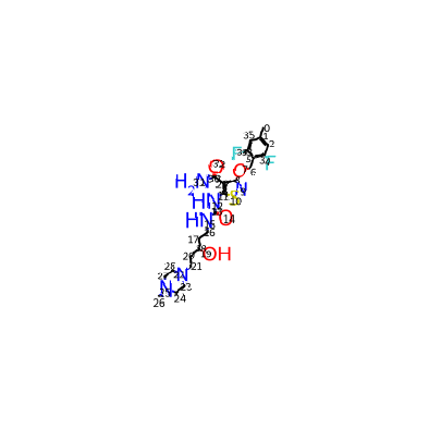 Cc1cc(F)c(COc2nsc(NC(=O)NCCC(O)CCN3CCN(C)CC3)c2C(N)=O)c(F)c1